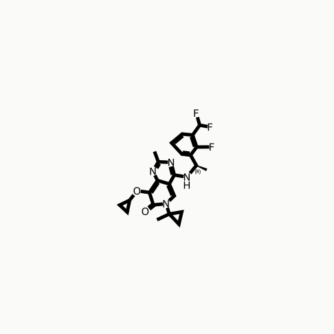 Cc1nc(N[C@H](C)c2cccc(C(F)F)c2F)c2cn(C3(C)CC3)c(=O)c(OC3CC3)c2n1